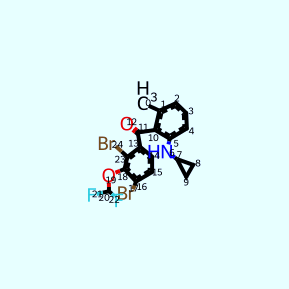 Cc1cccc(NC2CC2)c1C(=O)c1ccc(Br)c(OC(F)F)c1Br